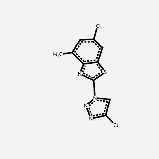 Cc1cc(Cl)cc2sc(-n3cc(Cl)nn3)nc12